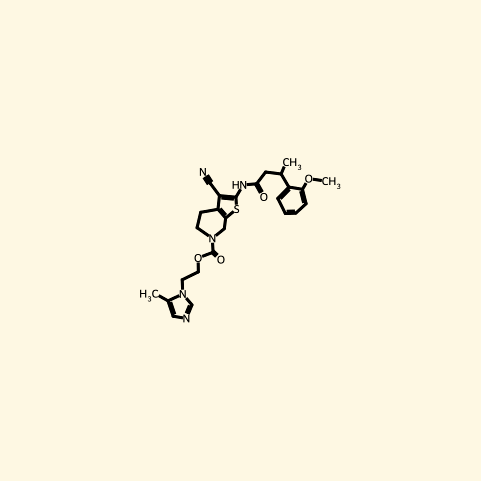 COc1ccccc1C(C)CC(=O)Nc1sc2c(c1C#N)CCN(C(=O)OCCn1cncc1C)C2